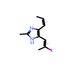 C/C=C\c1nc(C)[nH]c1/C=C(\C)I